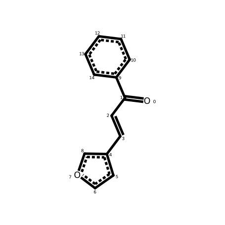 O=C(C=Cc1ccoc1)c1ccccc1